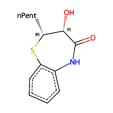 CCCCC[C@H]1Sc2ccccc2NC(=O)[C@H]1O